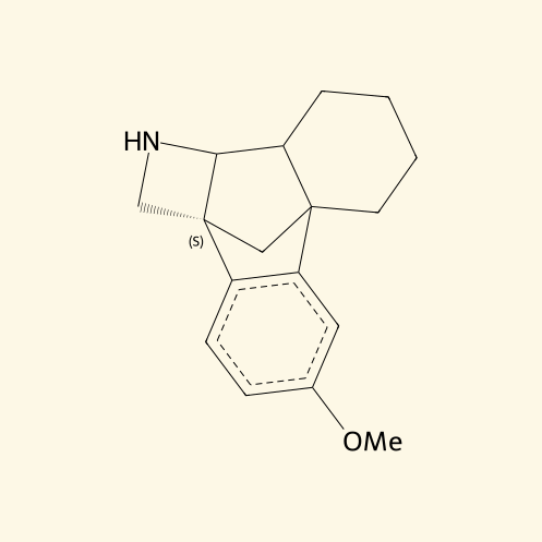 COc1ccc2c(c1)C13CCCCC1C1NC[C@]21C3